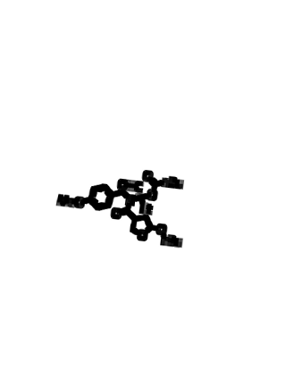 CCCCOC1CC(C(=O)N(Cc2ccc(OC)cc2)[C@](C=O)(CC)OC(=O)CCCC)CO1